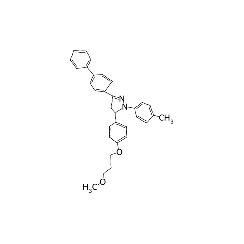 COCCCOc1ccc(C2CC(c3ccc(-c4ccccc4)cc3)=NN2c2ccc(C)cc2)cc1